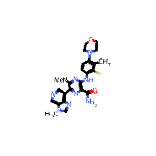 CNc1nc(Nc2ccc(N3CCOCC3)c(C)c2F)c(C(N)=O)nc1-c1cncc2c1ncn2C